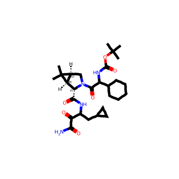 CC(C)(C)OC(=O)NC(C(=O)N1C[C@H]2[C@@H]([C@H]1C(=O)NC(CC1CC1)C(=O)C(N)=O)C2(C)C)C1CCCCC1